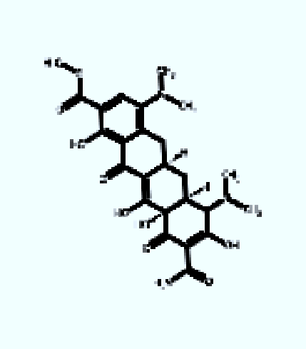 COC(=O)c1cc(N(C)C)c2c(c1O)C(=O)C1=C(O)[C@]3(O)C(=O)C(C(N)=O)=C(O)C(N(C)C)[C@@H]3C[C@@H]1C2